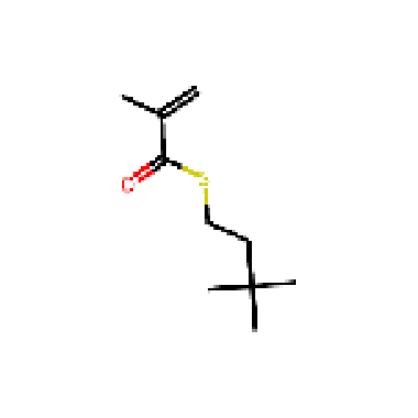 C=C(C)C(=O)SCCC(C)(C)C